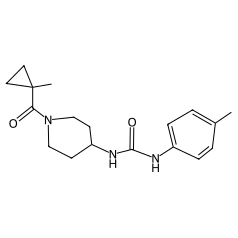 Cc1ccc(NC(=O)NC2CCN(C(=O)C3(C)CC3)CC2)cc1